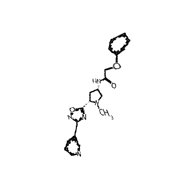 CN1C[C@@H](NC(=O)COc2ccccc2)C[C@H]1c1nc(-c2cccnc2)no1